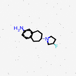 Nc1ccc2c(c1)CC[C@H](N1CC[C@@H](F)C1)CC2